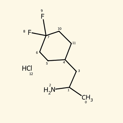 CC(N)CC1CCC(F)(F)CC1.Cl